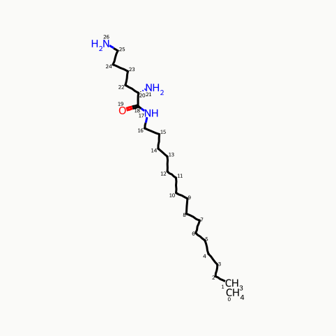 C.CCCCCCCCCCCCCCCCNC(=O)[C@@H](N)CCCCN